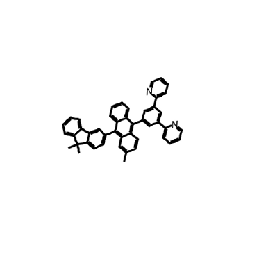 Cc1ccc2c(-c3cc(-c4ccccn4)cc(-c4ccccn4)c3)c3ccccc3c(-c3ccc4c(c3)-c3ccccc3C4(C)C)c2c1